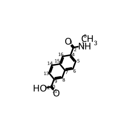 CNC(=O)c1ccc2cc(C(=O)O)ccc2c1